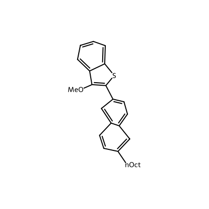 CCCCCCCCc1ccc2cc(-c3sc4ccccc4c3OC)ccc2c1